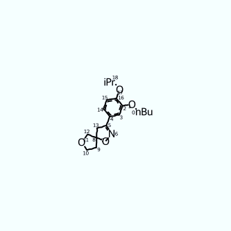 CCCCOc1cc(C2=NOC3(CCOC3)C2)ccc1OC(C)C